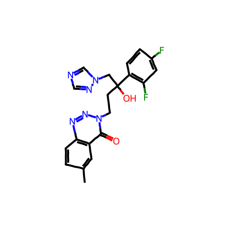 Cc1ccc2nnn(CCC(O)(Cn3cncn3)c3ccc(F)cc3F)c(=O)c2c1